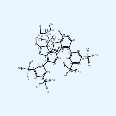 CCC1=Cc2c(-c3cc(C(F)(F)F)cc(C(F)(F)F)c3)ccc(C)c2[CH]1[Zr]([Cl])([Cl])([CH]1C(C)=Cc2c(-c3cc(C(F)(F)F)cc(C(F)(F)F)c3)ccc(C)c21)[SiH](CC)CC